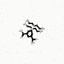 O=C(O)c1cccc(C(=O)O)c1.OCCOCCO.OCCOCCO